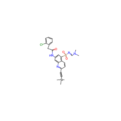 CN(C)/C=N/S(=O)(=O)c1cc(NC(=O)Cc2ccccc2Cl)cc2nc(C#C[Si](C)(C)C)ccc12